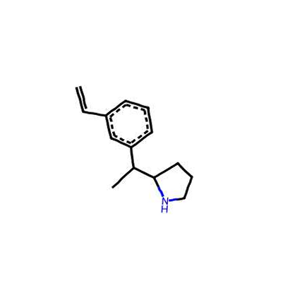 C=Cc1cccc(C(C)C2CCCN2)c1